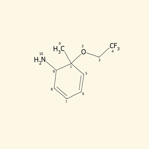 CC1(OCC(F)(F)F)C=CC=CC1N